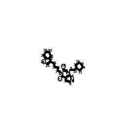 O=c1c2ccncc2n(CCC2CCCCC2)c(=O)n1CCCCc1coc2ccccc12